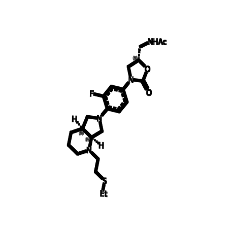 CCSCCN1CCC[C@H]2CN(c3ccc(N4C[C@H](CNC(C)=O)OC4=O)cc3F)C[C@H]21